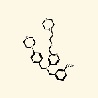 COc1cccc(CN(Cc2ccc(N3CCOCC3)cc2)c2ccnc(COCCN3CCOCC3)c2)c1